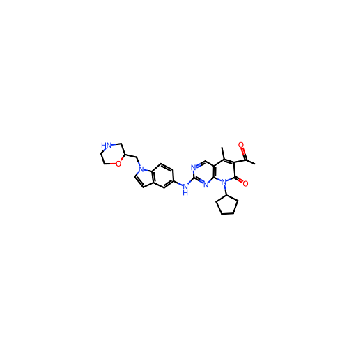 CC(=O)c1c(C)c2cnc(Nc3ccc4c(ccn4CC4CNCCO4)c3)nc2n(C2CCCC2)c1=O